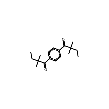 CCC(C)(C)C(=O)c1ccc(C(=O)C(C)(C)CC)cc1